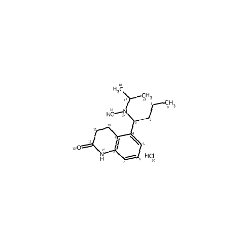 CCCC(c1cccc2c1CCC(=O)N2)N(O)C(C)C.Cl